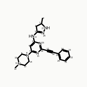 CC1CC(Nc2cc(N3CCN(C)CC3)nc(C#Cc3ccccc3)n2)=NN1